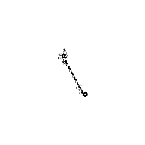 C[C@H]1[C@@H]2OC[C@](Cn3cc(COCCCOCCCOCCCOCCNC(=O)CNCC(=O)c4ccccc4)nn3)(O2)[C@H](O)[C@@H]1O